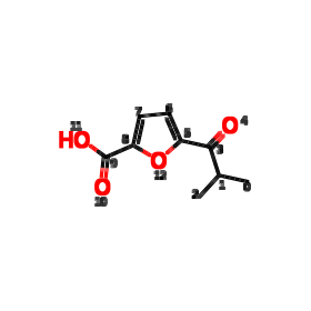 CC(C)C(=O)c1ccc(C(=O)O)o1